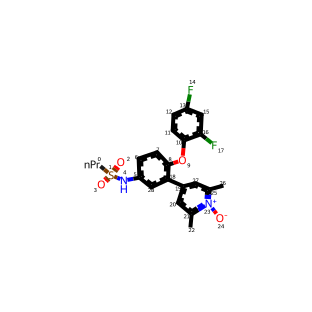 CCCS(=O)(=O)Nc1ccc(Oc2ccc(F)cc2F)c(-c2cc(C)[n+]([O-])c(C)c2)c1